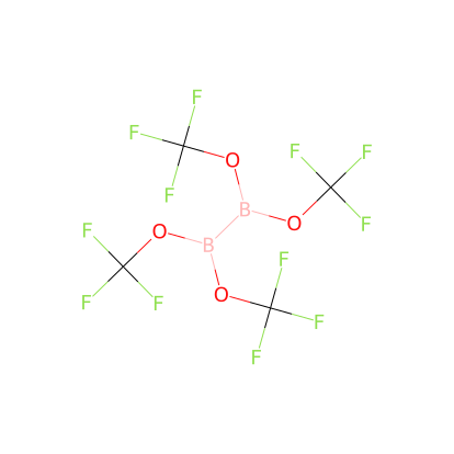 FC(F)(F)OB(OC(F)(F)F)B(OC(F)(F)F)OC(F)(F)F